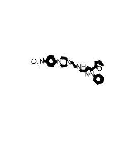 O=[N+]([O-])c1ccc(N2CCN(CCNCc3cc(-c4ccco4)n(-c4ccccc4)n3)CC2)cc1